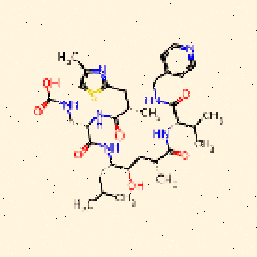 Cc1csc(C[C@H](C)C(=O)N[C@@H](CNC(=O)O)C(=O)N[C@@H](CC(C)C)[C@H](O)C[C@@H](C)C(=O)N[C@H](C(=O)NCc2ccncc2)C(C)C)n1